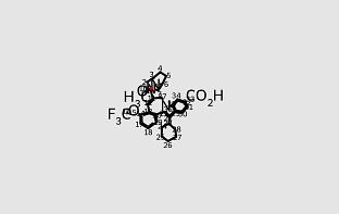 CN1CC2CCC(C1)N2C(=O)C1=Cc2c(OC(F)(F)F)cccc2-c2c(C3CCCCC3)c3ccc(C(=O)O)cc3n2C1